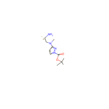 C[C@H](N)CN(C)c1ccn(C(=O)OC(C)(C)C)n1